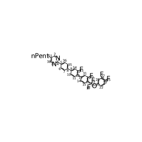 CCCCCc1cnc(-c2ccc(-c3ccc(-c4ccc(C(F)(F)Oc5ccc(F)c(F)c5)c(F)c4)c(F)c3)cc2)nc1